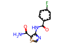 NC(=O)c1scnc1NC(=O)c1ccc(F)cc1